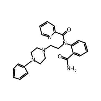 NC(=O)c1ccccc1N(CCN1CCN(c2ccccc2)CC1)C(=O)c1ccccn1